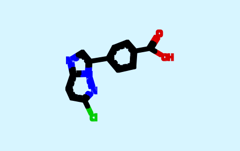 O=C(O)c1ccc(-c2cnc3ccc(Cl)nn23)cc1